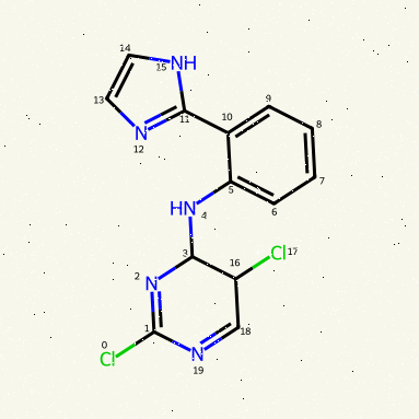 ClC1=NC(Nc2ccccc2-c2ncc[nH]2)C(Cl)C=N1